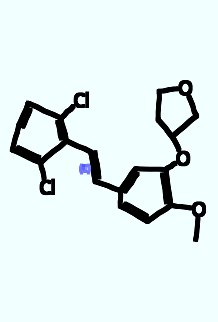 COc1ccc(/C=C/c2c(Cl)cccc2Cl)cc1OC1CCOC1